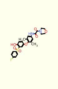 Cc1cc(NC(=O)C(=O)N2CCOCC2)cc(C)c1Oc1ccc(O)c(S(=O)(=O)c2ccc(F)cc2)c1